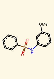 COc1cccc(NS(=O)(=O)c2ccccc2)c1